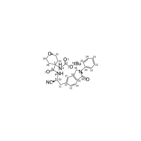 CC(C)(C)OC(=O)NC1(C(=O)N[C@H](C#N)Cc2ccc3c(c2)CN(c2ccccc2)C3=O)CCOCC1